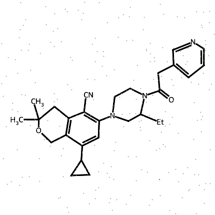 CCC1CN(c2cc(C3CC3)c3c(c2C#N)CC(C)(C)OC3)CCN1C(=O)Cc1cccnc1